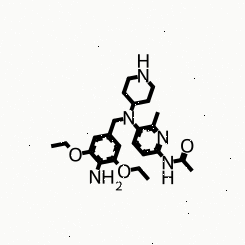 CCOc1cc(CN(c2ccc(NC(C)=O)nc2C)C2CCNCC2)cc(OCC)c1N